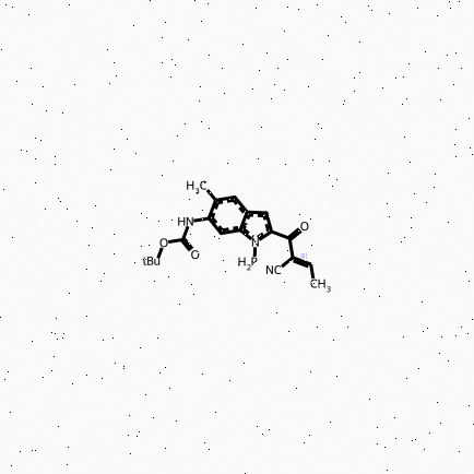 C/C=C(\C#N)C(=O)c1cc2cc(C)c(NC(=O)OC(C)(C)C)cc2n1P